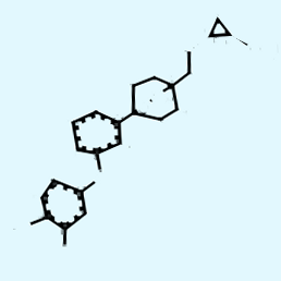 O=C(O)[C@@H]1C[C@H]1CCC12CCC(c3cccc(Oc4ccc(F)c(F)c4)c3)(CC1)OC2